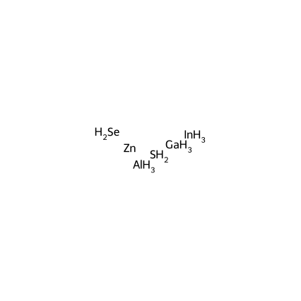 S.[AlH3].[GaH3].[InH3].[SeH2].[Zn]